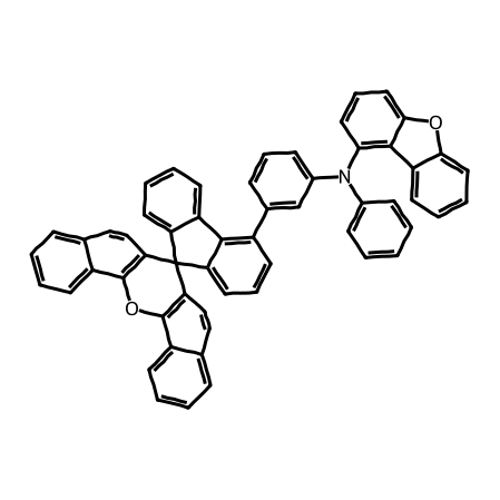 c1ccc(N(c2cccc(-c3cccc4c3-c3ccccc3C43c4ccc5ccccc5c4Oc4c3ccc3ccccc43)c2)c2cccc3oc4ccccc4c23)cc1